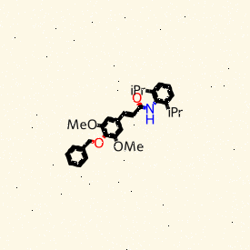 COc1cc(/C=C/C(=O)Nc2c(C(C)C)cccc2C(C)C)cc(OC)c1OCc1ccccc1